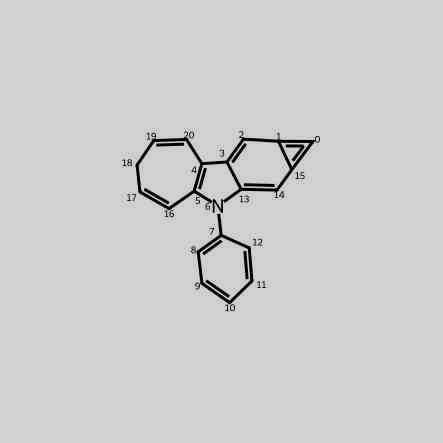 C1=c2cc3c4c(n(-c5ccccc5)c3cc2=1)C=CCC=C4